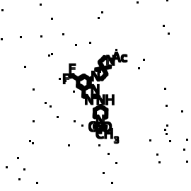 CC(=O)N1CCC2(CCN(c3cc(C(F)F)cc4cnc(NC5CCN(S(C)(=O)=O)CC5)nc34)C2)C1